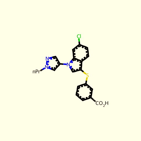 CCCn1cc(-n2cc(Sc3cccc(C(=O)O)c3)c3ccc(Cl)cc32)cn1